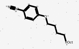 CCCCCCCCCCCCOc1ccc([N+]#N)cc1